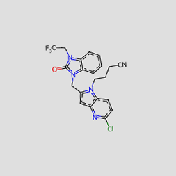 N#CCCCn1c(Cn2c(=O)n(CC(F)(F)F)c3ccccc32)cc2nc(Cl)ccc21